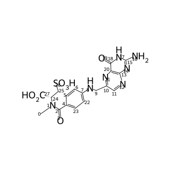 CN(C(=O)c1ccc(NCc2cnc3nc(N)[nH]c(=O)c3n2)cc1)[C@@H](CS(=O)(=O)O)C(=O)O